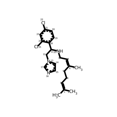 CC(C)=CCCC(C)=CCNC(Cn1ccnc1)c1ccc(Cl)cc1Cl